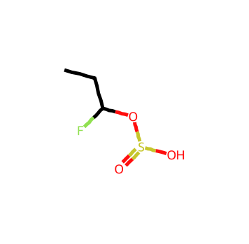 CCC(F)OS(=O)O